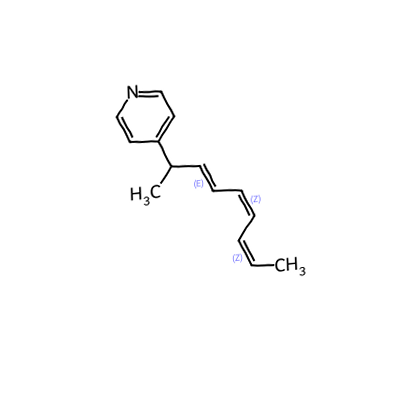 C\C=C/C=C\C=C\C(C)c1ccncc1